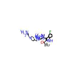 CCC(C)C(=O)c1[nH]c2ccc(F)cc2c1/C(N)=C/N(N)CC1CCN(CCN)CC1